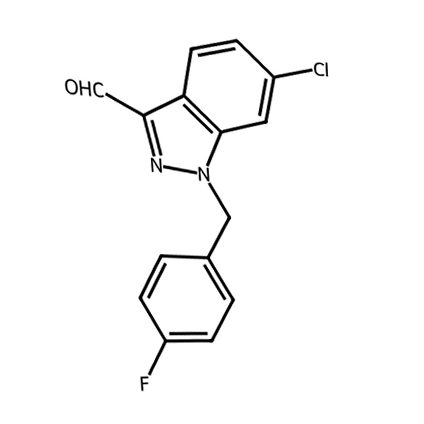 O=Cc1nn(Cc2ccc(F)cc2)c2cc(Cl)ccc12